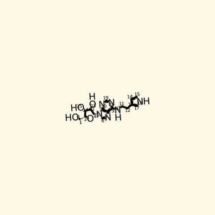 OC[C@H]1O[C@@H](n2cnc3c(NCCc4cc[nH]c4)ncnc32)[C@@H](O)[C@H]1O